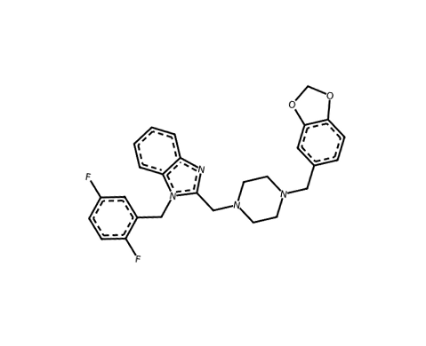 Fc1ccc(F)c(Cn2c(CN3CCN(Cc4ccc5c(c4)OCO5)CC3)nc3ccccc32)c1